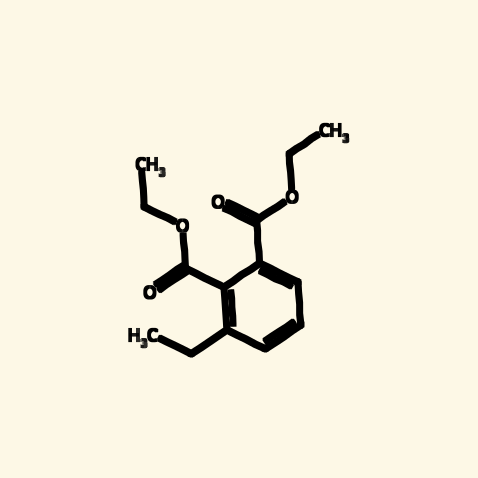 CCOC(=O)c1cccc(CC)c1C(=O)OCC